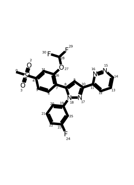 CS(=O)(=O)c1ccc(-c2cc(-c3cccnn3)nn2-c2cccc(F)c2)c(OC(F)F)c1